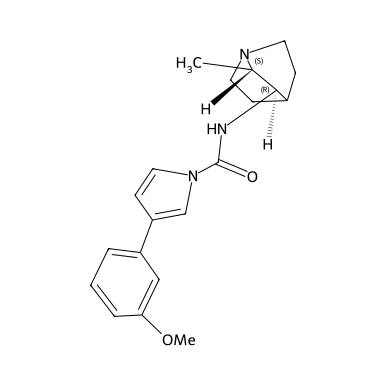 COc1cccc(-c2ccn(C(=O)N[C@@H]3C4CCN(CC4)[C@H]3C)c2)c1